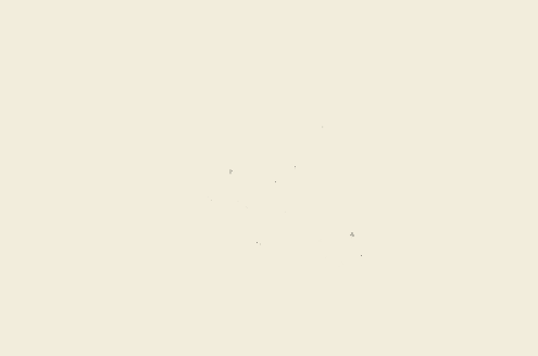 Cn1nc(-c2ccccc2)cc1Nc1nc(Nc2ccc3[nH]ncc3c2)c2sccc2n1